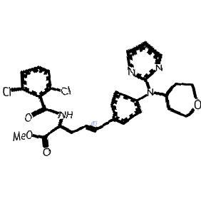 COC(=O)C(C/C=C/c1ccc(N(c2ncccn2)C2CCOCC2)cc1)NC(=O)c1c(Cl)cccc1Cl